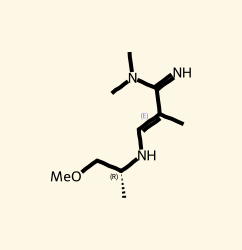 COC[C@@H](C)N/C=C(\C)C(=N)N(C)C